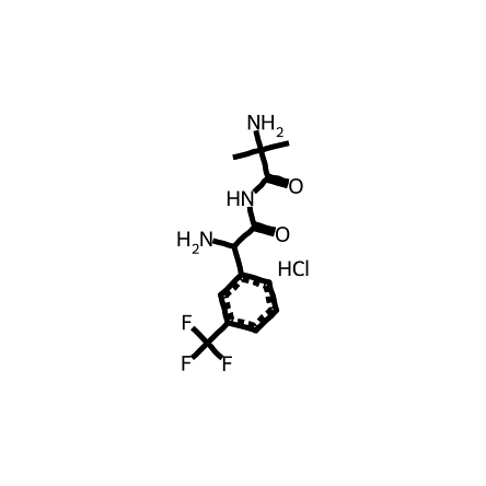 CC(C)(N)C(=O)NC(=O)C(N)c1cccc(C(F)(F)F)c1.Cl